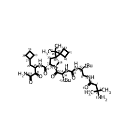 CC(C)(N)CC(=O)NC[C@@H](NC(=O)N[C@H](C(=O)N1C[C@]2(C[C@H]1C(=O)NC(CC1CCC1)C(=O)C(N)=O)C(C)(C)C21CCC1)C(C)(C)C)C(C)(C)C